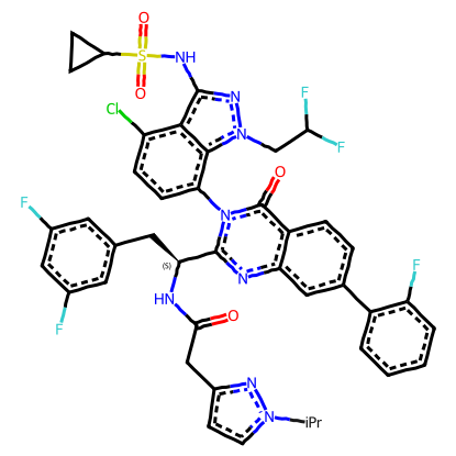 CC(C)n1ccc(CC(=O)N[C@@H](Cc2cc(F)cc(F)c2)c2nc3cc(-c4ccccc4F)ccc3c(=O)n2-c2ccc(Cl)c3c(NS(=O)(=O)C4CC4)nn(CC(F)F)c23)n1